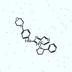 C1=C[N+]2(N3CCCC3c3ccccc3)N=C(Nc3ccc(N4CCOCC4)cc3)N=C2C=N1